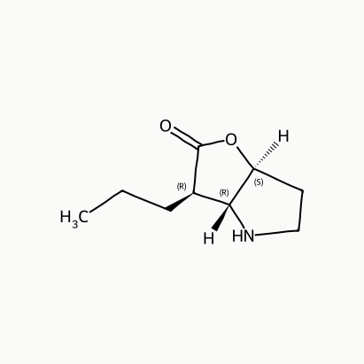 CCC[C@H]1C(=O)O[C@H]2CCN[C@@H]21